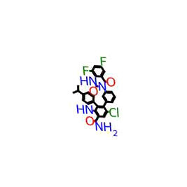 CC(C)c1ccc2c(c1)[nH]c1c(C(N)=O)cc(Cl)c(-c3cccc(-n4c(=O)[nH]c5c(F)cc(F)cc5c4=O)c3)c12